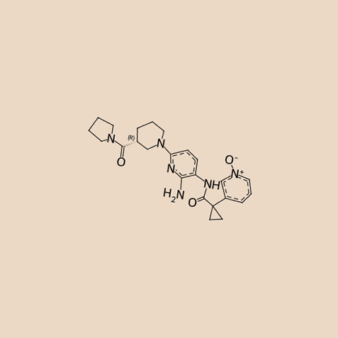 Nc1nc(N2CCC[C@@H](C(=O)N3CCCC3)C2)ccc1NC(=O)C1(c2ccc[n+]([O-])c2)CC1